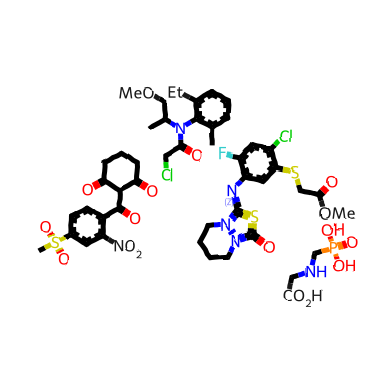 CCc1cccc(C)c1N(C(=O)CCl)C(C)COC.COC(=O)CSc1cc(/N=c2\sc(=O)n3n2CCCC3)c(F)cc1Cl.CS(=O)(=O)c1ccc(C(=O)C2C(=O)CCCC2=O)c([N+](=O)[O-])c1.O=C(O)CNCP(=O)(O)O